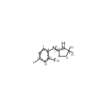 Cc1ccc(/N=C2\CCC(C)(C)N2)c(F)c1